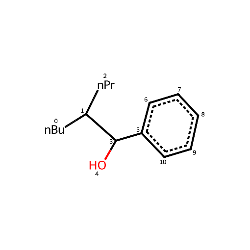 CCCCC(CCC)C(O)c1ccccc1